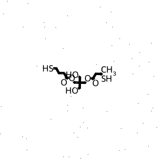 CC(S)CC(=O)OCC(CO)(CO)COC(=O)CCCS